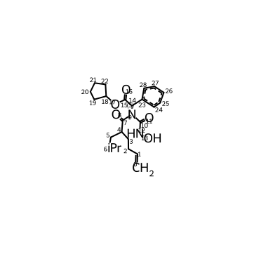 C=CCCC(CC(C)C)C(=O)N(C(=O)NO)[C@H](C(=O)OC1CCCC1)c1ccccc1